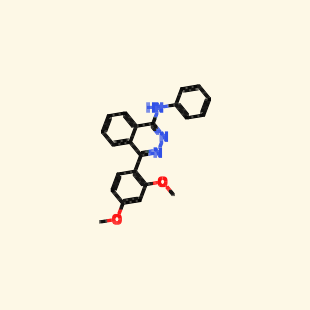 COc1ccc(-c2nnc(Nc3ccccc3)c3ccccc23)c(OC)c1